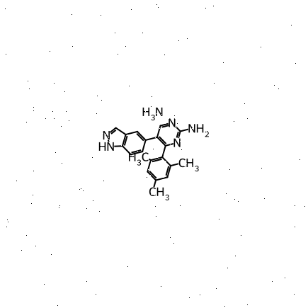 Cc1cc(C)c(-c2nc(N)ncc2-c2ccc3[nH]ncc3c2)c(C)c1.N